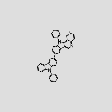 c1ccc(-n2c3ccccc3c3cc(-c4ccc5c(c4)c4cnc6ccncc6c4n5-c4ccccc4)ccc32)cc1